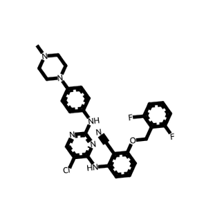 CN1CCN(c2ccc(Nc3ncc(Cl)c(Nc4cccc(OCc5c(F)cccc5F)c4C#N)n3)cc2)CC1